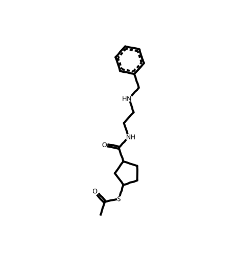 CC(=O)SC1CCC(C(=O)NCCNCc2ccccc2)C1